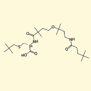 CC(C)(C)CCC(=O)NCCC(C)(C)OCCC(C)(C)C(=O)N[C@@H](CSCC(C)(C)C)C(=O)O